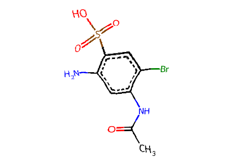 CC(=O)Nc1cc(N)c(S(=O)(=O)O)cc1Br